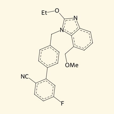 CCOc1nc2cccc(COC)c2n1Cc1ccc(-c2cc(F)ccc2C#N)cc1